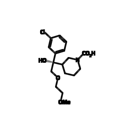 COCCOC[C@@](O)(c1cccc(Cl)c1)C1CCCN(C(=O)O)C1